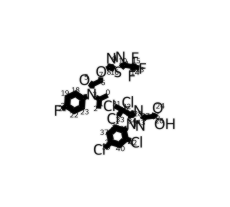 CC(C)N(C(=O)COc1nnc(C(F)(F)F)s1)c1ccc(F)cc1.O=C(O)c1nc(C(Cl)(Cl)Cl)n(-c2ccc(Cl)cc2Cl)n1